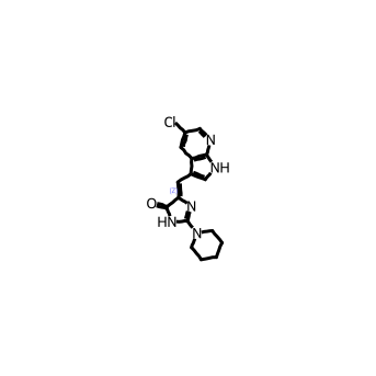 O=C1NC(N2CCCCC2)=N/C1=C\c1c[nH]c2ncc(Cl)cc12